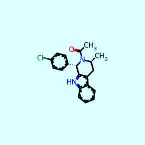 CC(=O)N1[C@@H](c2ccc(Cl)cc2)c2[nH]c3ccccc3c2C[C@@H]1C